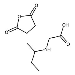 CCC(C)NCC(=O)O.O=C1CCC(=O)O1